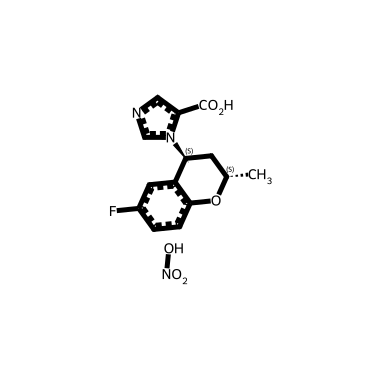 C[C@H]1C[C@H](n2cncc2C(=O)O)c2cc(F)ccc2O1.O=[N+]([O-])O